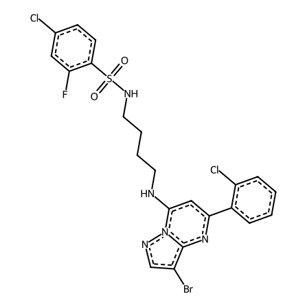 O=S(=O)(NCCCCNc1cc(-c2ccccc2Cl)nc2c(Br)cnn12)c1ccc(Cl)cc1F